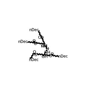 CCCCCCCCCCCCCCCC(=O)OCCCCCC(O)C(CCCCOC(=O)CCCCCCCCCCCCCCC)CNCCN(C)CCNCC(CCCCOC(=O)CCCCCCCCCCCCCCC)C(O)CCCCCOC(=O)CCCCCCCCCCCCCCC